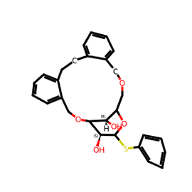 O[C@@H]1C2COCc3ccccc3CCc3ccccc3COC1[C@H](O)C(Sc1ccccc1)O2